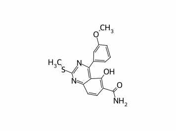 COc1cccc(-c2nc(SC)nc3ccc(C(N)=O)c(O)c23)c1